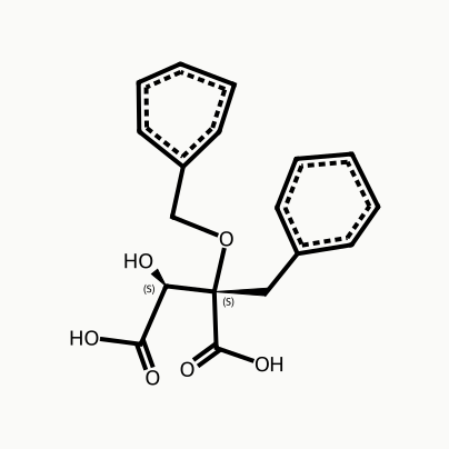 O=C(O)[C@@H](O)[C@](Cc1ccccc1)(OCc1ccccc1)C(=O)O